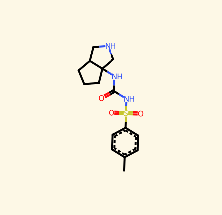 Cc1ccc(S(=O)(=O)NC(=O)NC23CCCC2CNC3)cc1